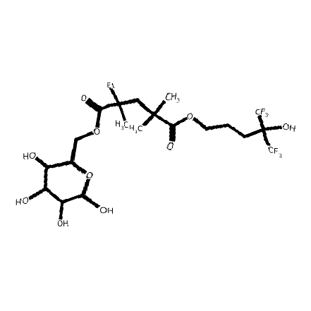 CCC(C)(CC(C)(C)C(=O)OCCCC(O)(C(F)(F)F)C(F)(F)F)C(=O)OCC1OC(O)C(O)C(O)C1O